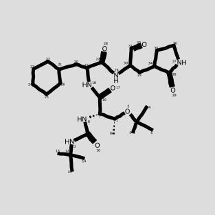 C[C@@H](OC(C)(C)C)[C@H](NC(=O)NC(C)(C)C)C(=O)NC(CC1CCCCC1)C(=O)NC(C=O)CC1CCNC1=O